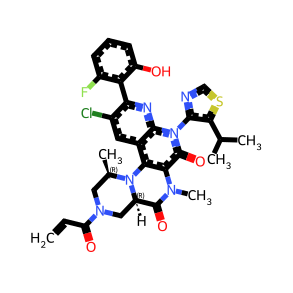 C=CC(=O)N1C[C@@H](C)N2c3c(c(=O)n(-c4ncsc4C(C)C)c4nc(-c5c(O)cccc5F)c(Cl)cc34)N(C)C(=O)[C@H]2C1